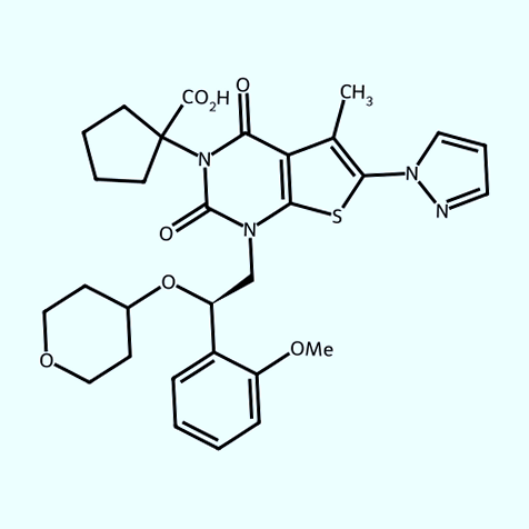 COc1ccccc1[C@H](Cn1c(=O)n(C2(C(=O)O)CCCC2)c(=O)c2c(C)c(-n3cccn3)sc21)OC1CCOCC1